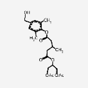 CC(=O)OCC(COC(C)=O)OC(=O)CC(C)CC(=O)Oc1c(C)cc(CO)cc1C